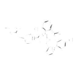 CCOC(=O)CC1CCN(C(=O)C[C@@H]2O[C@@H](C(=O)c3cccc(Cl)c3Cl)c3cc(Cl)ccc3-n3cccc32)CC1